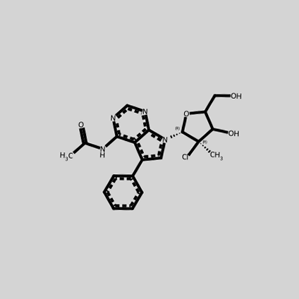 CC(=O)Nc1ncnc2c1c(-c1ccccc1)cn2[C@@H]1OC(CO)C(O)[C@@]1(C)Cl